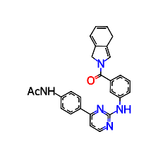 CC(=O)Nc1ccc(-c2ccnc(Nc3cccc(C(=O)N4C=C5CC=CC=C5C4)c3)n2)cc1